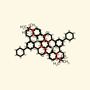 CC(C)(C)c1ccc2c(=O)c3cc4c(cc3n(-c3c(C5CCCCC5)cc(C5CCCCC5)cc3C3CCCCC3)c2c1)c(=O)c1ccc(C(C)(C)C)cc1n4-c1c(C2CCCCC2)cc(C2CCCCC2)cc1C1CCCCC1